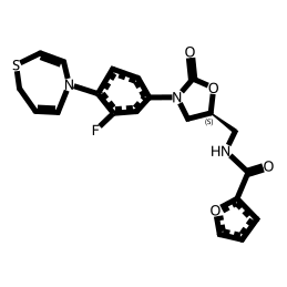 O=C(NC[C@H]1CN(c2ccc(N3C=CCSC=C3)c(F)c2)C(=O)O1)c1ccco1